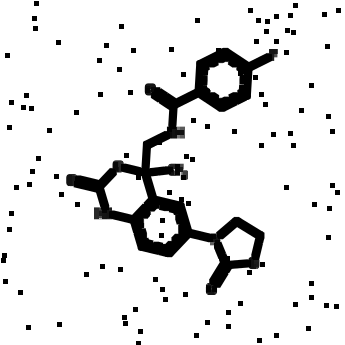 O=C1Nc2ccc(N3CCOC3=O)cc2C(CNC(=O)c2ccc(F)cc2)(C(F)(F)F)O1